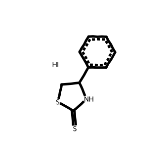 I.S=C1NC(c2ccccc2)CS1